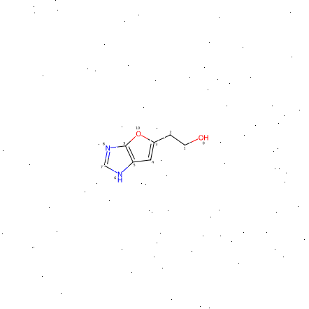 OCCc1cc2[nH]cnc2o1